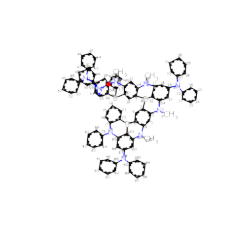 CN1c2cc3c(cc2B2c4cc5c(cc4N(C)c4cc(N(c6ccccc6)c6ccccc6)cc1c42)N(C)c1cc(N(c2ccccc2)c2ccccc2)cc2c1B5c1ccccc1N2c1ccccc1)B1c2ccccc2N(c2ccccc2)c2cc(N(c4ccccc4)c4ccccc4)cc(c21)N3C